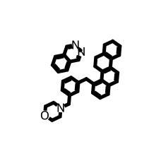 C1=CC2=C(CC1)CCc1c2ccc2cccc(Cc3cccc(CN4CCOCC4)c3)c12.c1ccc2cnncc2c1